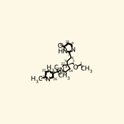 CCOC[C@@]1(CCc2nccc(=O)[nH]2)CCN(C(C)(C)c2ccc(C)nc2)C1